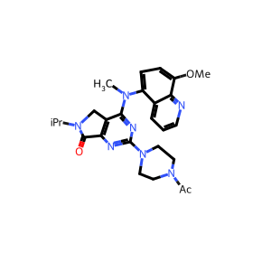 COc1ccc(N(C)c2nc(N3CCN(C(C)=O)CC3)nc3c2CN(C(C)C)C3=O)c2cccnc12